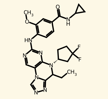 CCC1c2nncn2-c2cnc(Nc3ccc(C(=O)NC4CC4)cc3OC)nc2N1[C@@H]1CCC(F)(F)C1